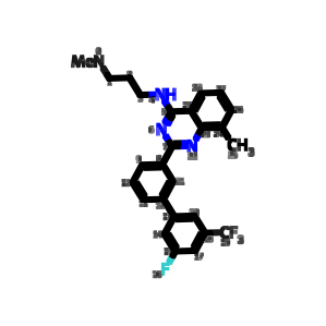 CNCCCNc1nc(-c2cccc(-c3cc(F)cc(C(F)(F)F)c3)c2)nc2c(C)cccc12